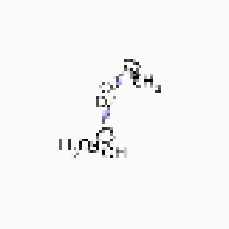 COc1cc(/C=C/C(=O)CC(=O)/C=C/c2cccn2C)ccc1O